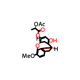 COc1ccc2c3c1O[C@@H]1C[C@@](O)(CC=C1OC(=O)[C@H](C)OC(C)=O)[C@H](CCCC3)C2